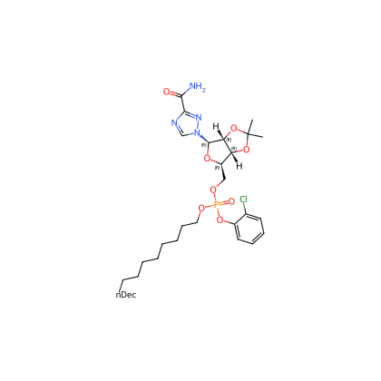 CCCCCCCCCCCCCCCCCCOP(=O)(OC[C@H]1O[C@@H](n2cnc(C(N)=O)n2)[C@@H]2OC(C)(C)O[C@@H]21)Oc1ccccc1Cl